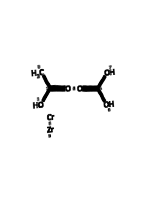 CC(=O)O.O=C(O)O.[Cr].[Zr]